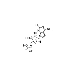 Nc1nc(Cl)nc2c1ncn2[C@H]1[C@H](O)[C@H](O)[C@@]2(COP(O)(O)=S)C[C@H]12